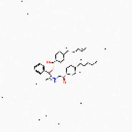 CCCCC[C@H]1CC[C@H](C(=O)CN[C@@H](C)[C@H](OC(=O)[C@H]2CC[C@H](CCCCC)CC2)c2ccccc2)CC1